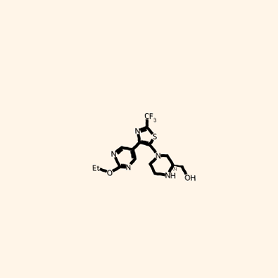 CCOc1ncc(-c2nc(C(F)(F)F)sc2N2CCN[C@H](CO)C2)cn1